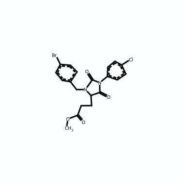 COC(=O)CCC1C(=O)N(c2ccc(Cl)cc2)C(=O)N1Cc1ccc(Br)cc1